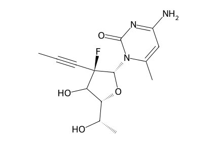 CC#C[C@@]1(F)C(O)[C@@H]([C@H](C)O)O[C@H]1n1c(C)cc(N)nc1=O